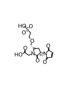 O=C(O)CN1C(=O)[C@H](N2C(=O)C=CC2=O)C[C@H]1COCCS(=O)(=O)O